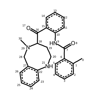 Cc1ccccc1C(=O)Nc1ccccc1C(=O)C1CCNc2ccccc2CN1C